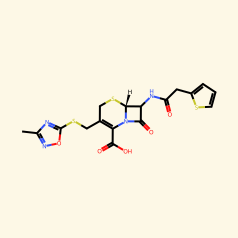 Cc1noc(SCC2=C(C(=O)O)N3C(=O)C(NC(=O)Cc4cccs4)[C@H]3SC2)n1